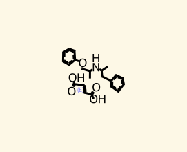 CC(COc1ccccc1)NC(C)Cc1ccccc1.O=C(O)/C=C/C(=O)O